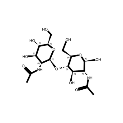 CC(=O)N[C@@H]1[C@@H](O)[C@H](O[C@@H]2O[C@H](CO)[C@@H](O)[C@H](O)[C@H]2NC(C)=O)[C@@H](CO)O[C@H]1O